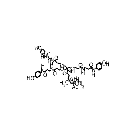 CC(=O)C(C)(C)CC(C)(C)CCC(=O)NC(COCCC(=O)NCCC(=O)Nc1ccc(O)cc1)(COCCC(=O)NCCC(=O)Nc1ccc(O)cc1)COCCC(=O)NCCC(=O)Nc1ccc(O)cc1